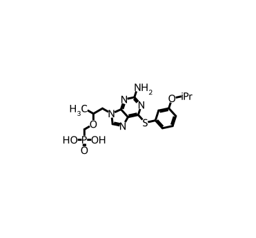 CC(C)Oc1cccc(Sc2nc(N)nc3c2ncn3CC(C)OCP(=O)(O)O)c1